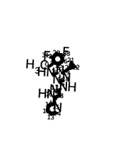 CC(Nc1nc(Nc2cc(-c3ccccn3)[nH]n2)nc(C2CC2)n1)c1ccc(F)cc1F